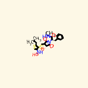 CNC(=O)[C@H](Cc1ccccc1)N1C(=O)CC(C[S+]([O-])c2c(NO)csc2CC(C)C)C1=O